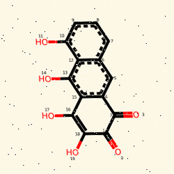 O=C1C(=O)c2cc3cccc(O)c3c(O)c2C(O)=C1O